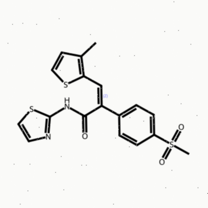 Cc1ccsc1/C=C(\C(=O)Nc1nccs1)c1ccc(S(C)(=O)=O)cc1